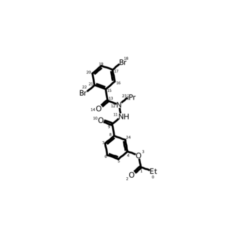 CCC(=O)Oc1cccc(C(=O)NN(C(=O)c2cc(Br)ccc2Br)C(C)C)c1